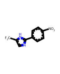 O=[N+]([O-])c1ccc(-c2ncc(C(F)(F)F)[nH]2)cc1